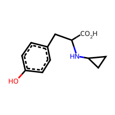 O=C(O)C(Cc1ccc(O)cc1)NC1CC1